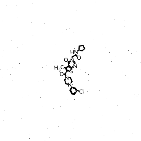 Cc1c(C(=O)N2CCN(c3cccc(Cl)c3)CC2)sc2ncn(CC(=O)NC3CCCC3)c(=O)c12